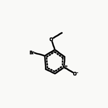 COc1c[n+]([O-])ccc1Br